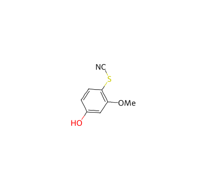 COc1cc(O)ccc1SC#N